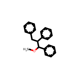 [SiH3]O[C](c1ccccc1)C(Cc1ccccc1)c1ccccc1